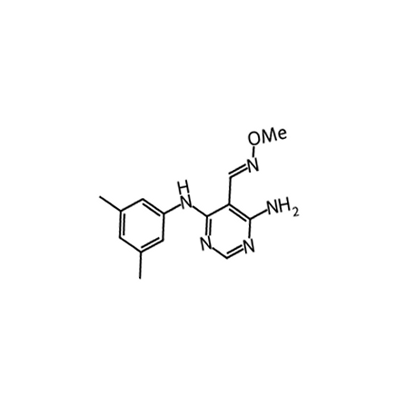 CO/N=C/c1c(N)ncnc1Nc1cc(C)cc(C)c1